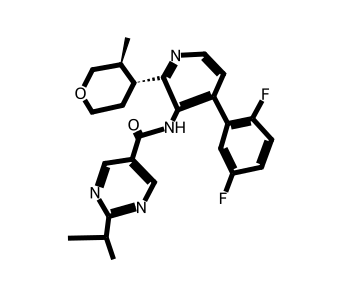 CC(C)c1ncc(C(=O)Nc2c(-c3cc(F)ccc3F)ccnc2[C@@H]2CCOC[C@H]2C)cn1